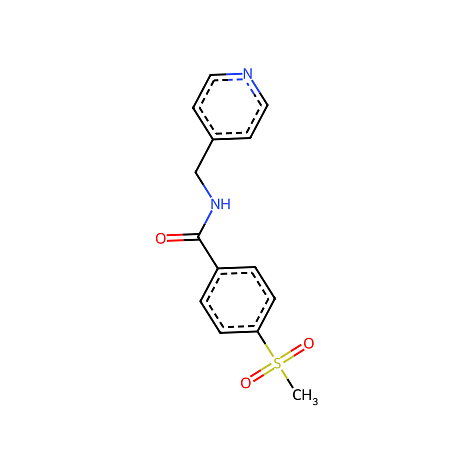 CS(=O)(=O)c1ccc(C(=O)NCc2ccncc2)cc1